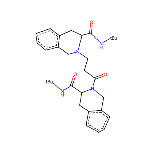 CC(C)(C)NC(=O)C1Cc2ccccc2CN1CCC(=O)N1Cc2ccccc2CC1C(=O)NC(C)(C)C